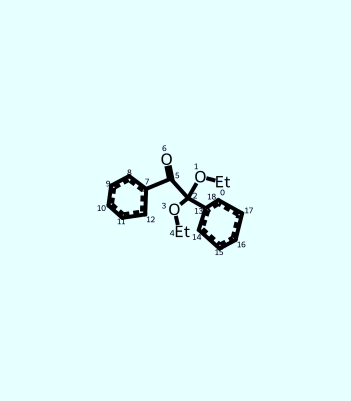 CCOC(OCC)(C(=O)c1ccccc1)c1ccccc1